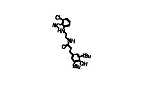 CC(C)(C)c1cc(CCC(=O)NCCNc2cccc(Cl)c2C#N)cc(C(C)(C)C)c1O